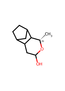 C[C@@H]1OC(O)CC2C3CCC(C3)C21